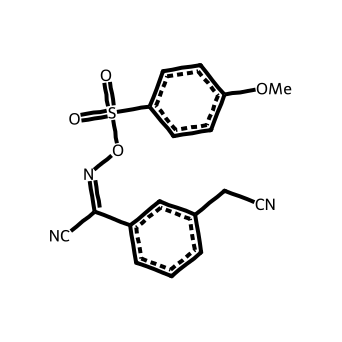 COc1ccc(S(=O)(=O)ON=C(C#N)c2cccc(CC#N)c2)cc1